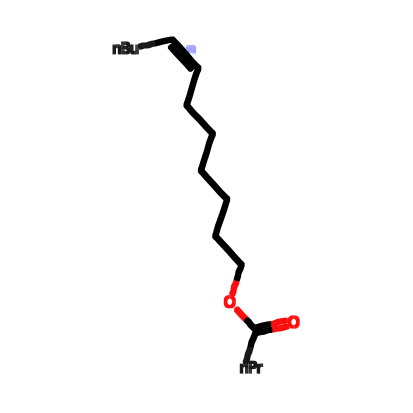 CCCC/C=C\CCCCCCOC(=O)CCC